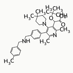 Cc1ccc(CNCc2ccc(-c3c(C)nc(C)c(C(OC(C)(C)C)C(=O)O)c3N3CCC(C)(C)CC3)cc2)cc1